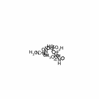 CN1CCC(N(C)C(=O)Nc2cc(Oc3ccc(NC(=O)C4(C(=O)Nc5ccccc5)CC4)c(F)c3)ccn2)CC1.O=S(=O)(O)O